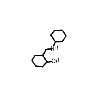 OC1CCCCC1CNC1CCCCC1